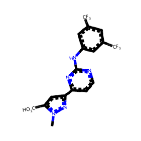 Cn1nc(-c2ccnc(Nc3cc(C(F)(F)F)cc(C(F)(F)F)c3)n2)cc1C(=O)O